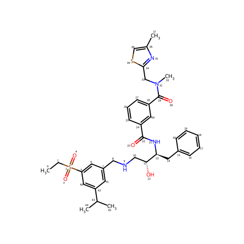 CCS(=O)(=O)c1cc(CNC[C@@H](O)[C@H](Cc2ccccc2)NC(=O)c2cccc(C(=O)N(C)Cc3nc(C)cs3)c2)cc(C(C)C)c1